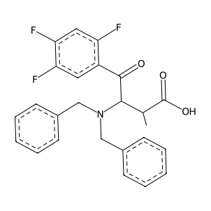 CC(C(=O)O)C(C(=O)c1cc(F)c(F)cc1F)N(Cc1ccccc1)Cc1ccccc1